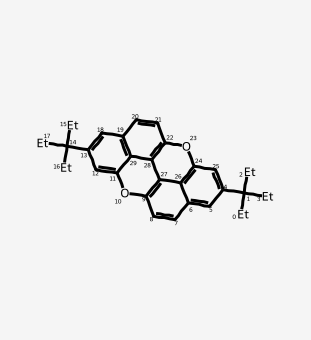 CCC(CC)(CC)c1cc2ccc3oc4cc(C(CC)(CC)CC)cc5ccc6oc(c1)c2c3-c6c54